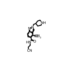 Cc1c(C(=O)NCCC#N)ccc2nn(CC3CCNCC3)cc12.Cl